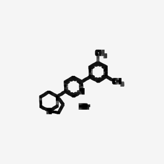 Br.Cc1cc(C)cc(-c2ccc(C34CCCN(CC3)C4)cn2)c1